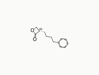 O=C1OC[C@@H]1CCCCc1ccccc1